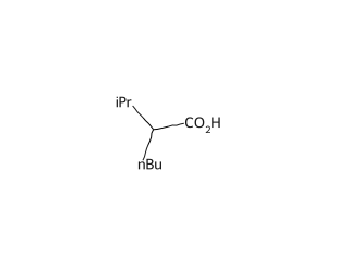 CCCCC(C(=O)O)C(C)C